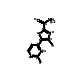 Cc1nccc(-c2sc(C(N)=O)nc2C)n1